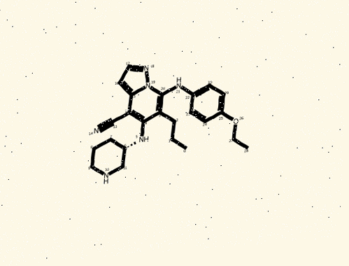 CCCc1c(N[C@H]2CCCNC2)c(C#N)c2ccnn2c1Nc1ccc(OCC)cc1